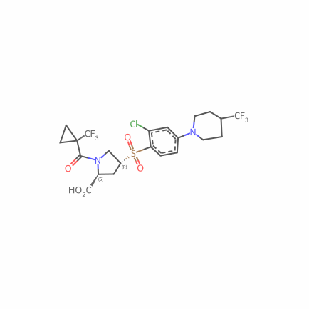 O=C(O)[C@@H]1C[C@@H](S(=O)(=O)c2ccc(N3CCC(C(F)(F)F)CC3)cc2Cl)CN1C(=O)C1(C(F)(F)F)CC1